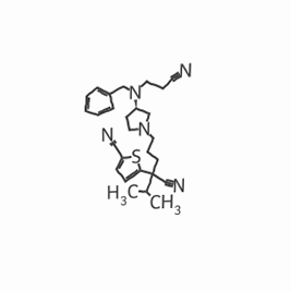 CC(C)C(C#N)(CCCN1CC[C@@H](N(CCC#N)Cc2ccccc2)C1)c1ccc(C#N)s1